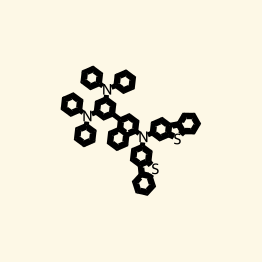 c1ccc(N(c2ccccc2)c2cc(-c3ccc(N(c4ccc5c(c4)sc4ccccc45)c4ccc5c(c4)sc4ccccc45)c4ccccc34)cc(N(c3ccccc3)c3ccccc3)c2)cc1